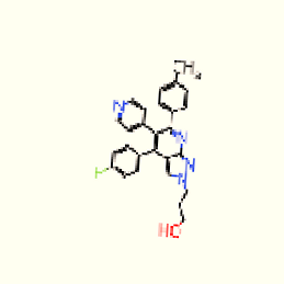 Cc1ccc(-c2nc3nn(CCCO)cc3c(-c3ccc(F)cc3)c2-c2ccncc2)cc1